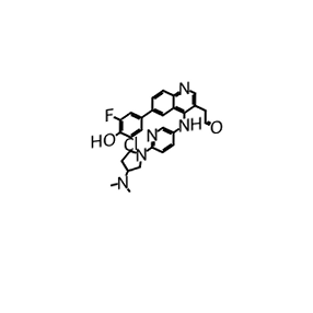 CN(C)C1CCN(c2ccc(Nc3c(CC=O)cnc4ccc(-c5cc(F)c(O)c(Cl)c5)cc34)cn2)C1